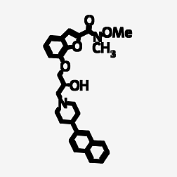 CON(C)C(=O)c1cc2cccc(OC[C@@H](O)CN3CCC(c4ccc5ccccc5c4)CC3)c2o1